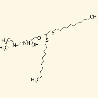 CCCCCCCCCCCSCC(COCC(O)CNCCN(CC)CC)SCCCCCCCCCCC